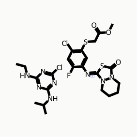 CCNc1nc(Cl)nc(NC(C)C)n1.COC(=O)CSc1cc(/N=c2\sc(=O)n3n2CCCC3)c(F)cc1Cl